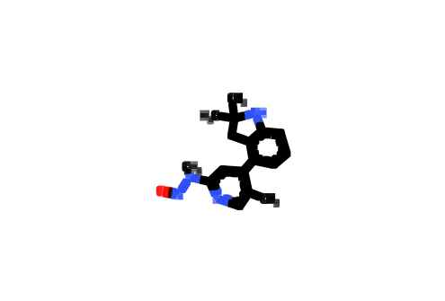 Cc1cnc(N(C)N=O)cc1-c1cccc2c1CC(C)(C)N2